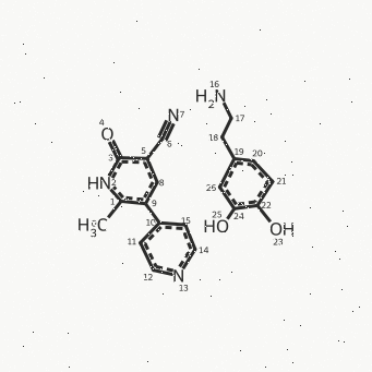 Cc1[nH]c(=O)c(C#N)cc1-c1ccncc1.NCCc1ccc(O)c(O)c1